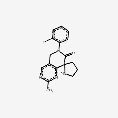 Cc1ncc2c(n1)C1(CCCN1)C(=O)N(c1ccccc1F)C2